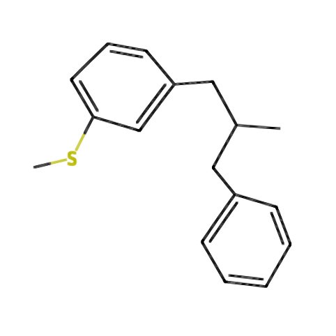 CSc1cccc(CC(C)Cc2ccccc2)c1